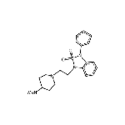 CNC1CCN(CCN2c3ccccc3N(c3ccccc3)S2(=O)=O)CC1